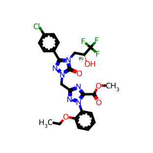 CCOc1ccccc1-n1nc(Cn2nc(-c3ccc(Cl)cc3)n(C[C@@H](O)C(F)(F)F)c2=O)nc1C(=O)OC